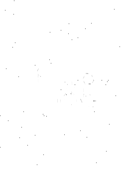 CC(=O)NCCCC[C@H](N)C(=O)N[C@H](C(=O)N[C@@H](Cc1ccccc1)C(=O)O)C(C)(C)S